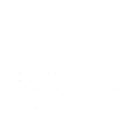 CCCCCCCC[B-](CCCCCCCC)(c1ccccc1)c1ccccc1.CCCC[N+](CCCC)(CCCC)CCCC